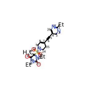 CCc1ncc(C#CC2=CCN(S(=O)(=O)C3(C)C(=O)N(CC)C(=O)N3CC)CC2)cn1